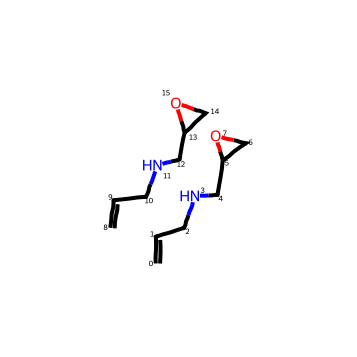 C=CCNCC1CO1.C=CCNCC1CO1